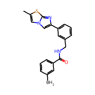 Bc1cccc(C(=O)NCc2cccc(-c3cn4cc(C)sc4n3)c2)c1